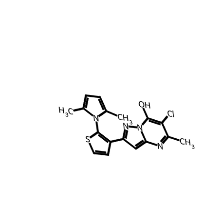 Cc1nc2cc(-c3ccsc3-n3c(C)ccc3C)nn2c(O)c1Cl